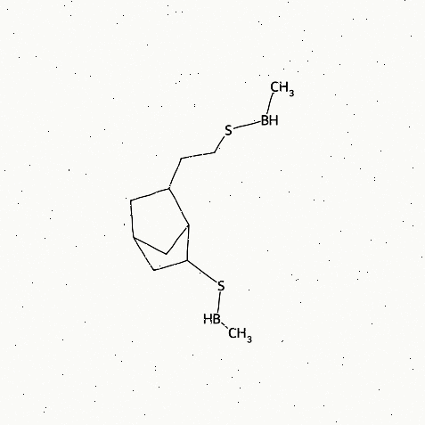 CBSCCC1CC2CC(SBC)C1C2